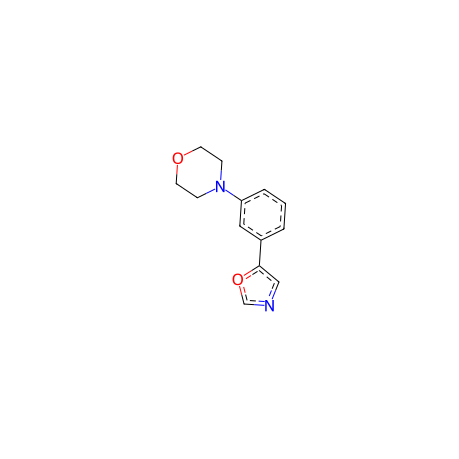 c1cc(-c2cnco2)cc(N2CCOCC2)c1